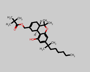 CCCCCCC(C)(C)c1cc(O)c2c(c1)OC(C)(C)[C@H]1CC=C(COC(=O)C(C)(C)C)C[C@H]21